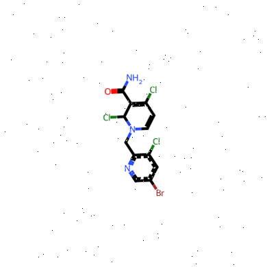 NC(=O)C1=C(Cl)C=CN(Cc2ncc(Br)cc2Cl)C1Cl